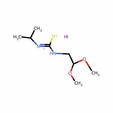 COC(CN/C(S)=N/C(C)C)OC.I